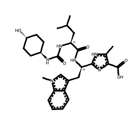 Cc1[nH]c([C@@H](Cc2cn(C)c3ccccc23)NC(=O)[C@H](CC(C)C)NC(=O)N[C@H]2CC[C@H](O)CC2)nc1C(=O)O